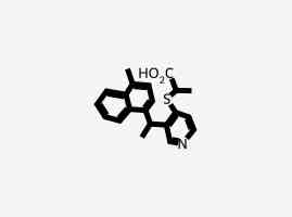 Cc1ccc(C(C)c2cnccc2SC(C)C(=O)O)c2ccccc12